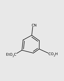 CCOC(=O)c1cc(C#N)cc(C(=O)O)c1